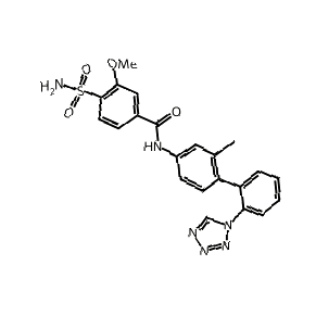 COc1cc(C(=O)Nc2ccc(-c3ccccc3-n3cnnn3)c(C)c2)ccc1S(N)(=O)=O